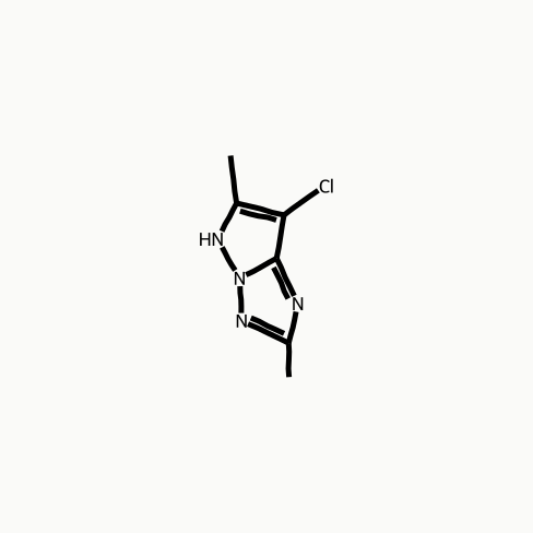 Cc1nc2c(Cl)c(C)[nH]n2n1